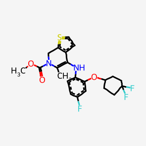 COC(=O)N1Cc2sccc2C(Nc2ccc(F)cc2OC2CCC(F)(F)CC2)=C1C